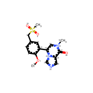 CCOc1ccc(CS(C)(=O)=O)cc1-c1cn(C)c(=O)c2cncn12